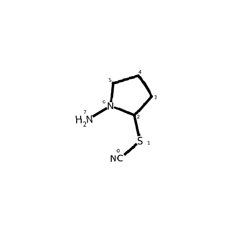 N#CSC1CCCN1N